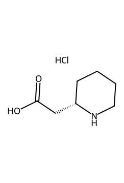 Cl.O=C(O)C[C@@H]1CCCCN1